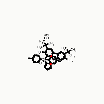 Cl.Cl.[CH2]=[Zr]([C]1=CC=CC1)([c]1ccc(I)cc1)([c]1ccc(I)cc1)[c]1c(C)c(C(C)(C)C)cc2c1Cc1cc(C)c(C(C)(C)C)cc1-2